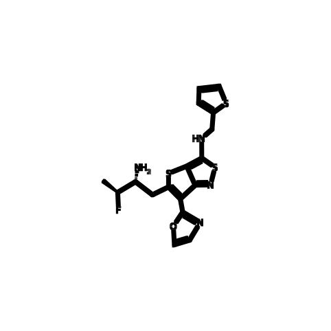 C[C@H](F)[C@H](N)Cc1sc2c(NCc3cccs3)snc2c1-c1ncco1